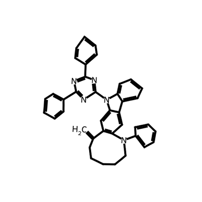 C=C1CCCCCN(c2ccccc2)c2cc3c4ccccc4n(-c4nc(-c5ccccc5)nc(-c5ccccc5)n4)c3cc21